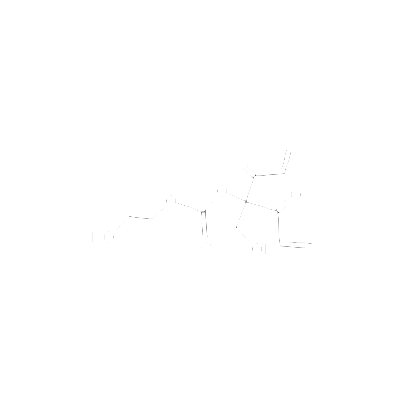 C=CC(=O)C(CO)(OC(=O)OCCO)C(=O)C=C